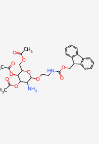 CC(=O)OCC1O[C@@H](OCCNC(=O)OCC2c3ccccc3-c3ccccc32)C(N)C(OC(C)=O)[C@H]1OC(C)=O